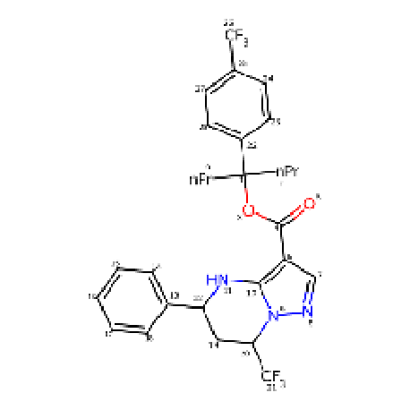 CCCC(CCC)(OC(=O)c1cnn2c1NC(c1ccccc1)CC2C(F)(F)F)c1ccc(C(F)(F)F)cc1